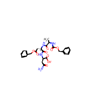 CC(NC(=O)OCc1ccccc1)C(=O)N[C@@H](CC(=O)OCc1ccccc1)C(=O)NC(CC(N)=O)C(=O)O